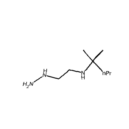 CCCC(C)(C)NCCNN